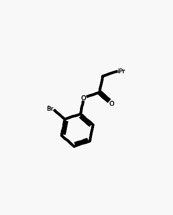 CC(C)CC(=O)Oc1ccccc1Br